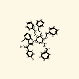 Cc1cccc2c1c(C(O)c1ccc(Br)cc1)cn2[C@@H]1O[C@H](COCc2ccccc2)[C@@H](OCc2ccccc2)[C@H](OCc2ccccc2)[C@H]1OCc1ccccc1